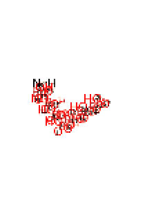 [NaH].[O-][Br+2]([O-])O.[O-][Br+2]([O-])O.[O-][Br+2]([O-])O.[O-][Br+2]([O-])O.[O-][Br+2]([O-])O.[O-][Br+2]([O-])O.[O-][Br+2]([O-])O